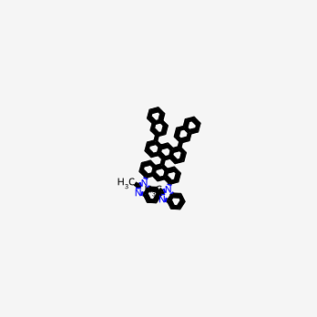 Cc1nc2ccccc2n1-c1cccc2c(-c3c4cccc(-c5ccc6ccccc6c5)c4cc4c(-c5ccc6ccccc6c5)cccc34)c3cccc(-n4c(C)nc5ccccc54)c3cc12